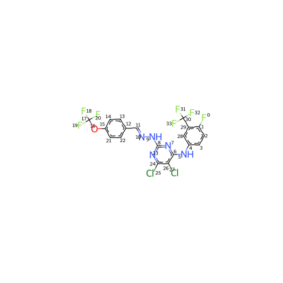 Fc1ccc(Nc2nc(N/N=C/c3ccc(OC(F)(F)F)cc3)nc(Cl)c2Cl)cc1C(F)(F)F